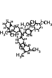 CCc1ccc2c(c1)C(C)(C)c1cc(N(c3ccc4c(c3)C(C)(C)c3ccccc3-4)c3ccc4oc5c(C)cc(C)cc5c4c3)ccc1-2